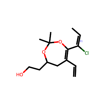 C=CC1=C(/C(Cl)=C\C)OC(C)(C)OC(CCO)C1